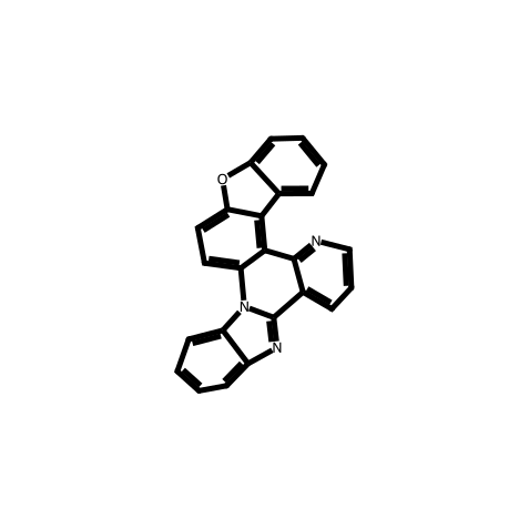 c1ccc2c(c1)nc1c3cccnc3c3c4c(ccc3n21)oc1ccccc14